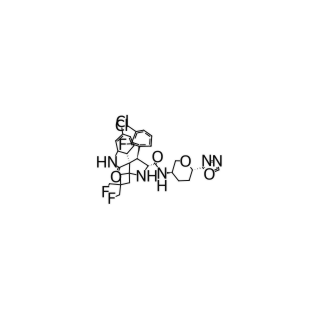 O=C(N[C@@H]1CC[C@@H](c2nnco2)OC1)[C@@H]1NC2(CC(CF)(CF)C2)[C@@]2(C(=O)NC3C=C(Cl)C=CC32)[C@H]1c1cccc(Cl)c1F